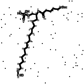 CCCCCCCCCCCCCCC(=O)O[C@H](COP(=O)(O)O)CSCCCCCCCCCCCCCOC=O